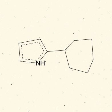 c1c[nH]c([C]2CCCCC2)c1